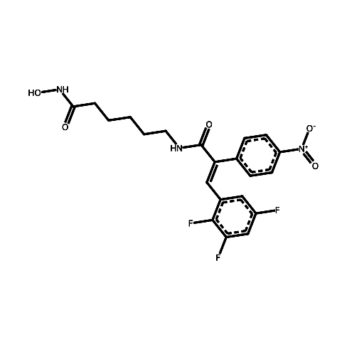 O=C(CCCCCNC(=O)/C(=C/c1cc(F)cc(F)c1F)c1ccc([N+](=O)[O-])cc1)NO